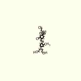 Cc1cc(N(CCO)CCO)ccc1/N=N/c1ccc(S(=O)(=O)NCCCl)cc1Cl